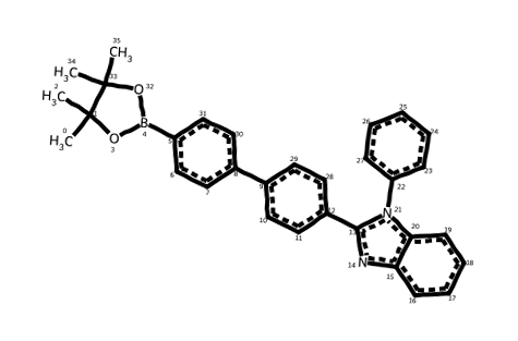 CC1(C)OB(c2ccc(-c3ccc(-c4nc5ccccc5n4-c4ccccc4)cc3)cc2)OC1(C)C